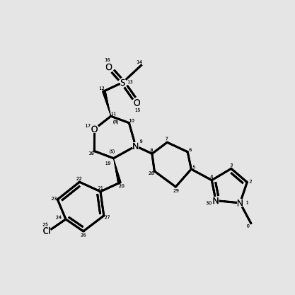 Cn1ccc(C2CCC(N3C[C@H](CS(C)(=O)=O)OC[C@@H]3Cc3ccc(Cl)cc3)CC2)n1